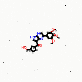 COc1cc(-c2cnc3[nH]cc(C(=O)C4CCC(CO)C4)c3n2)cc(OC)c1OC